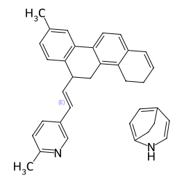 C1=CC2=CC=C(CC2)N1.Cc1ccc2c(c1)-c1ccc3c(c1CC2/C=C/c1ccc(C)nc1)CCC=C3